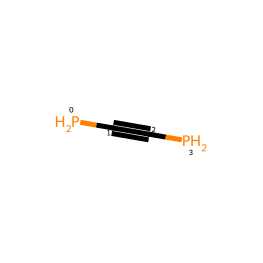 PC#CP